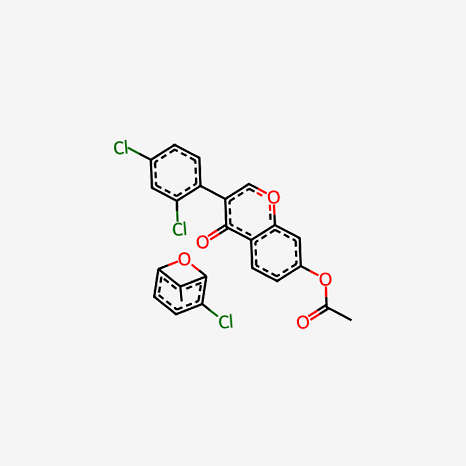 CC(=O)Oc1ccc2c(=O)c(-c3ccc(Cl)cc3Cl)coc2c1.Cc1c2ccc(Cl)c1O2